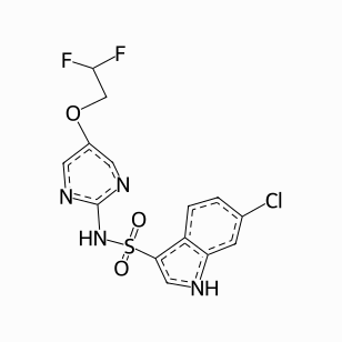 O=S(=O)(Nc1ncc(OCC(F)F)cn1)c1c[nH]c2cc(Cl)ccc12